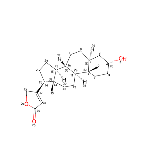 C[C@]12CC[C@@H](O)C[C@@H]1CC[C@@H]1[C@@H]2CC[C@]2(C)[C@@H](C3=CC(=O)OC3)CC[C@@H]12